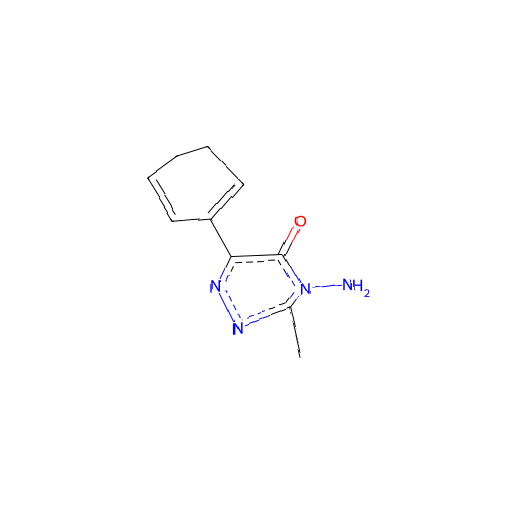 Cc1nnc(C2=CCCC=C2)c(=O)n1N